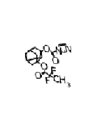 CC(F)(F)C(=O)OC12CC3CC(CC(OC(=O)n4ccnc4)(C3)C1)C2